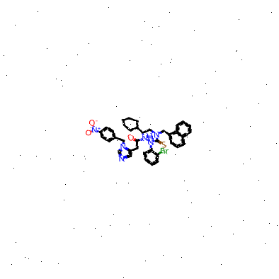 O=C(Cc1cncn1Cc1ccc([N+](=O)[O-])cc1)NC(CN(Cc1cccc2ccccc12)C(=S)Nc1ccccc1Br)C1CCCCC1